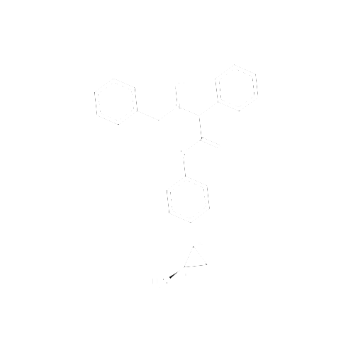 N[C@@H]1C[C@H]1c1ccc(NC(=O)C(c2ccccc2)N(Cc2ccccc2)C(=O)O)cc1